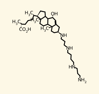 C[C@H](CCC[C@@H](C)[C@H]1CCC2C3C(CC[C@@]21C)[C@@]1(C)CC[C@H](NCCCNCCCCNCCCN)CC1=C[C@H]3O)C(=O)O